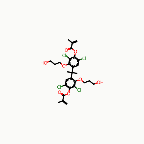 C=C(C)C(=O)Oc1c(Cl)cc(C(C)(C)c2cc(Cl)c(OC(=O)C(=C)C)c(Cl)c2OCCCO)c(OCCCO)c1Cl